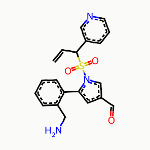 C=CC(c1cccnc1)S(=O)(=O)n1cc(C=O)cc1-c1ccccc1CN